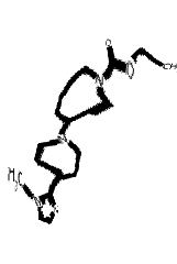 CCOC(=O)N1CCCC(N2CCC(c3nccn3C)CC2)CC1